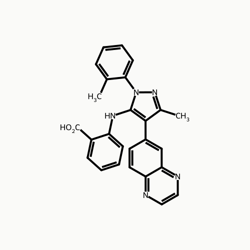 Cc1ccccc1-n1nc(C)c(-c2ccc3nccnc3c2)c1Nc1ccccc1C(=O)O